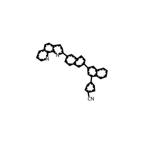 N#Cc1ccc(-c2cc(-c3ccc4cc(-c5ccc6ccc7cccnc7c6n5)ccc4c3)cc3ccccc23)cc1